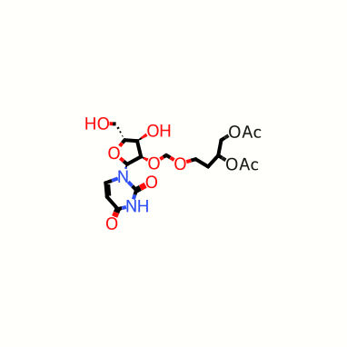 CC(=O)OCC(CCOCO[C@@H]1[C@H](O)[C@@H](CO)O[C@H]1n1ccc(=O)[nH]c1=O)OC(C)=O